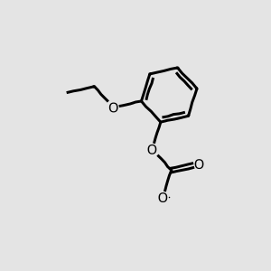 CCOc1ccccc1OC([O])=O